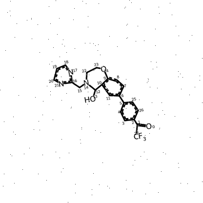 O=C(c1ccc(-c2ccc3c(c2)C(O)N(Cc2ncccn2)CCO3)cc1)C(F)(F)F